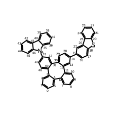 c1ccc2c(c1)-c1ccccc1-c1cc(-c3ccc4sc5ccccc5c4c3)ccc1-c1cc(-n3c4ccccc4c4ccccc43)ccc1-2